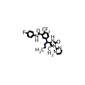 C=C/C=C(/c1ccc(C(F)(F)F)c(C(=O)Nc2ccc(F)cc2)c1)c1[nH]c(=O)n(-c2ncccn2)c1C